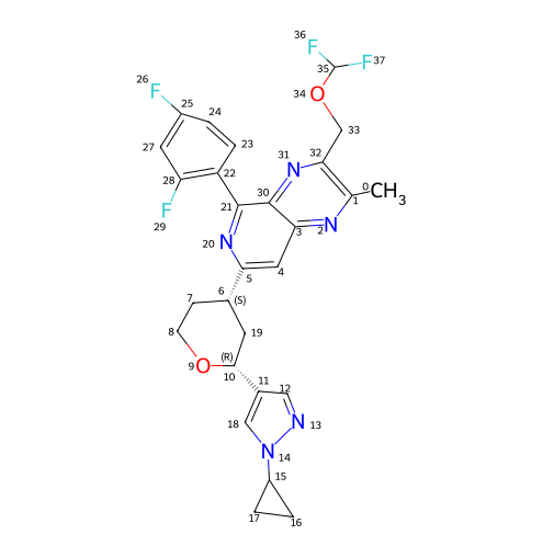 Cc1nc2cc([C@H]3CCO[C@@H](c4cnn(C5CC5)c4)C3)nc(-c3ccc(F)cc3F)c2nc1COC(F)F